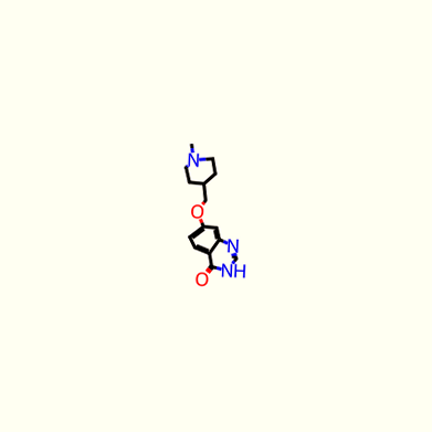 CN1CCC(COc2ccc3c(=O)[nH]cnc3c2)CC1